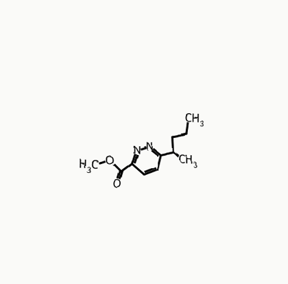 CCCC(C)c1ccc(C(=O)OC)nn1